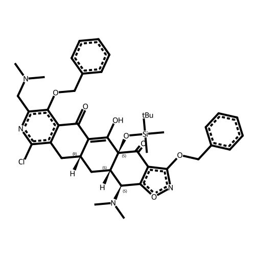 CN(C)Cc1nc(Cl)c2c(c1OCc1ccccc1)C(=O)C1=C(O)[C@]3(O[Si](C)(C)C(C)(C)C)C(=O)c4c(OCc5ccccc5)noc4[C@@H](N(C)C)[C@@H]3C[C@@H]1C2